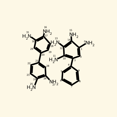 Nc1cc(-c2ccccc2)c(N)c(N)c1N.Nc1ccc(-c2ccc(N)c(N)c2)cc1N